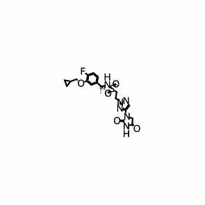 C[C@@H](NS(=O)(=O)CCn1ncc(N2CC(=O)NC2=O)n1)c1ccc(F)c(OCC2CC2)c1